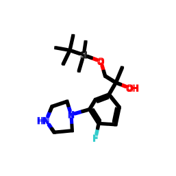 CC(O)(CO[Si](C)(C)C(C)(C)C)c1ccc(F)c(N2CCNCC2)c1